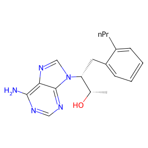 CCCc1ccccc1C[C@H]([C@H](C)O)n1cnc2c(N)ncnc21